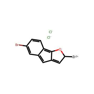 Brc1ccc2c(c1)=CC1=C[CH]([Zr+2])OC=21.[Cl-].[Cl-]